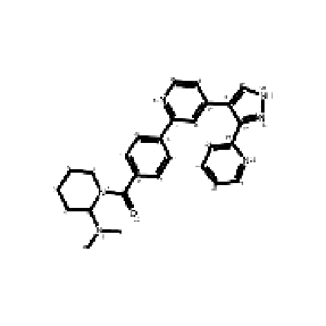 CN(C)C1CCCCN1C(=O)c1ccc(-c2cc(-c3c[nH]nc3-c3ccccn3)ccn2)cc1